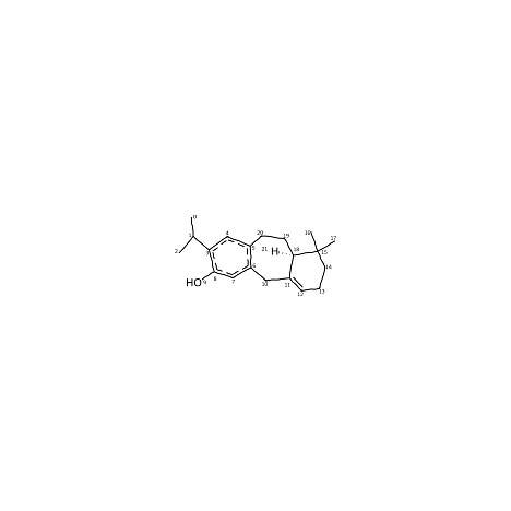 CC(C)c1cc2c(cc1O)CC1=CCCC(C)(C)[C@@H]1CC2